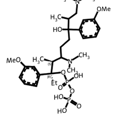 CC[C@](OP(=O)(O)OP(=O)(O)O)(c1cccc(OC)c1)[C@@H](C)C(CCC(O)(c1cccc(OC)c1)C(C)CN(C)C)N(C)C